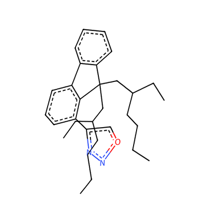 CCCCC(CC)CC1(CC(CC)CCCC)c2ccccc2-c2cccc(-c3conn3)c21